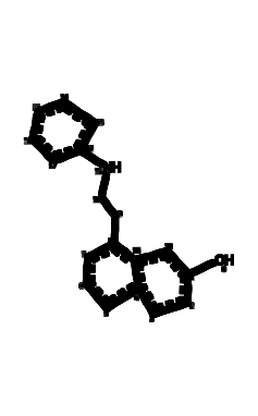 Oc1ccc2cccc(CCNc3ccccc3)c2c1